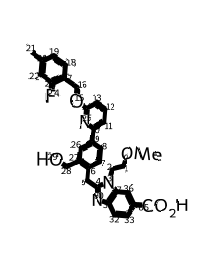 COCCn1c(Cc2ccc(-c3cccc(OCc4ccc(C)cc4F)n3)cc2CO)nc2ccc(C(=O)O)cc21